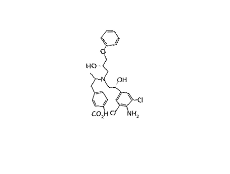 CC(Cc1ccc(C(=O)O)cc1)N(C[C@H](O)COc1ccccc1)C[C@H](O)c1cc(Cl)c(N)c(Cl)c1